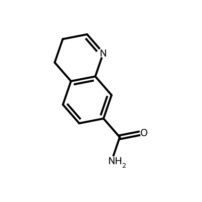 NC(=O)c1ccc2c(c1)N=CCC2